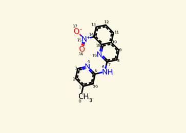 Cc1ccnc(Nc2ccc3cccc([N+](=O)[O-])c3n2)c1